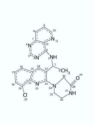 CC(Nc1ncnc2cccnc12)c1cc2cccc(Cl)c2nc1N1CCNC(=O)C1